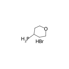 Br.PC1CCOCC1